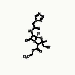 CC1(CBr)S[C@@H]2C(NC(=O)Cn3cnnn3)C(=O)N2C1C(=O)OCC(Cl)(Cl)Cl